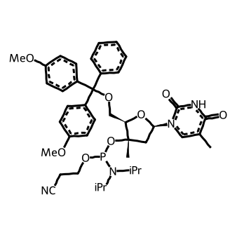 COc1ccc(C(OC[C@H]2O[C@@H](n3cc(C)c(=O)[nH]c3=O)C[C@]2(C)OP(OCCC#N)N(C(C)C)C(C)C)(c2ccccc2)c2ccc(OC)cc2)cc1